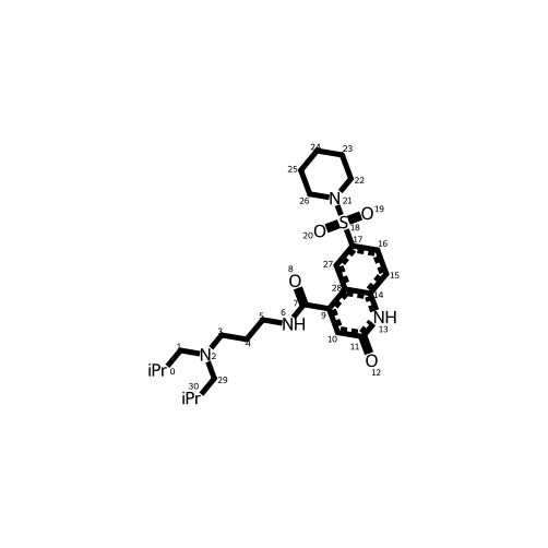 CC(C)CN(CCCNC(=O)c1cc(=O)[nH]c2ccc(S(=O)(=O)N3CCCCC3)cc12)CC(C)C